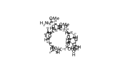 C=C1C[C@@H]2CC[C@@]3(O)C[C@@H](O)[C@@H]4CC5C4O[C@H]4CC[C@H](CC(=O)C[C@@H]6[C@@H](OC)[C@@H](C[C@@H](CN)OC)O[C@H]6C[C@H]6O[C@H](CCC6=C)CC[C@@H]1O2)O[C@@H]4[C@@H]5O3